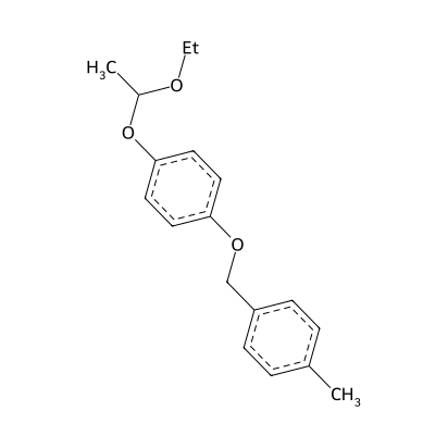 CCOC(C)Oc1ccc(OCc2ccc(C)cc2)cc1